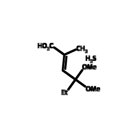 CCC(C=C(C)C(=O)O)(OC)OC.S